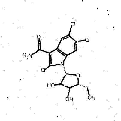 NC(=O)c1c(Cl)n([C@@H]2O[C@H](CO)C(O)C2O)c2cc(Cl)c(Cl)cc12